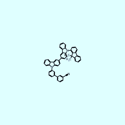 CC1(C)c2ccccc2-c2cccc(-n3c4ccccc4c4cc(-c5ccc6c(c5)c5ccccc5n6-c5cccc(-c6cccc(C#N)c6)c5)ccc43)c21